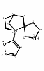 c1cc([N+]23CCC(CC24CCNC4)C3)on1